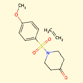 C=C.COc1ccc(S(=O)(=O)N2CCC(=O)CC2)cc1